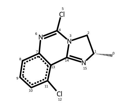 C[C@H]1CN2C(Cl)=Nc3cccc(Cl)c3C2=N1